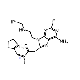 C=C(Cc1nc2c(N)nc(F)nc2n1CCNCC(C)C)/C(I)=C\C1=CCCC1